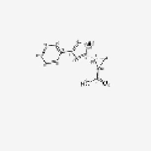 O=C(O)[C@@H]1C[C@H]1c1nc(-c2ccccc2)c[nH]1